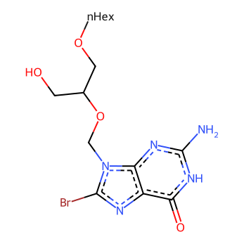 CCCCCCOCC(CO)OCn1c(Br)nc2c(=O)[nH]c(N)nc21